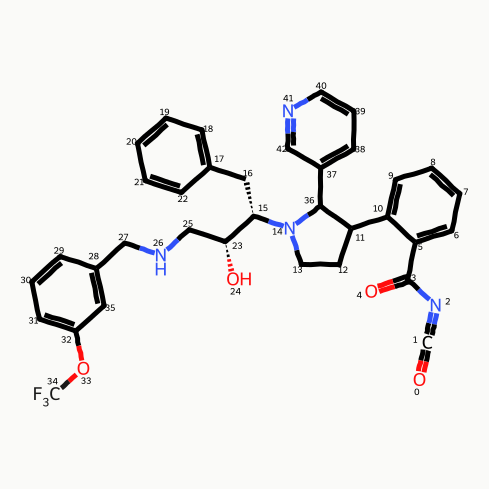 O=C=NC(=O)c1ccccc1C1CCN([C@@H](Cc2ccccc2)[C@H](O)CNCc2cccc(OC(F)(F)F)c2)C1c1cccnc1